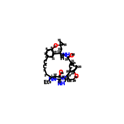 CC[C@]12CCCCc3ccc4c(c3)[C@H](CC3(CC3)O4)NC(=O)c3ccc4c(c3)[C@@H](CCO4)N(C(=N)N1)C(=O)C2